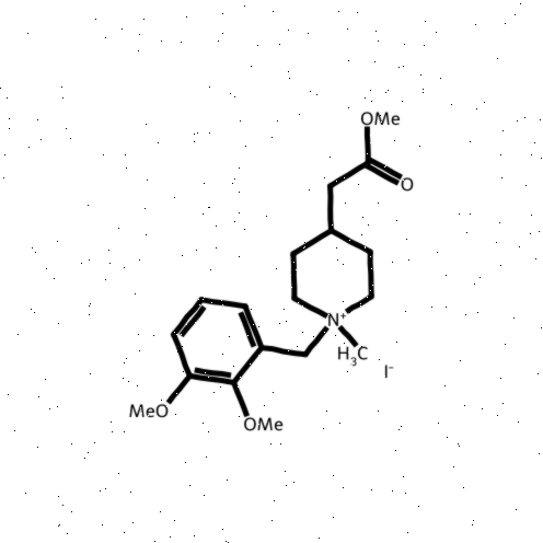 COC(=O)CC1CC[N+](C)(Cc2cccc(OC)c2OC)CC1.[I-]